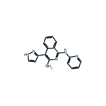 Nc1nc(Nc2ccccn2)c2ccccc2c1-c1cc[nH]n1